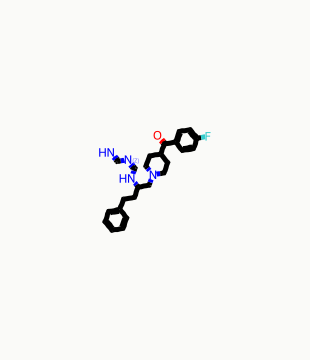 N=C/N=C\NC(CCc1ccccc1)CN1CCC(C(=O)c2ccc(F)cc2)CC1